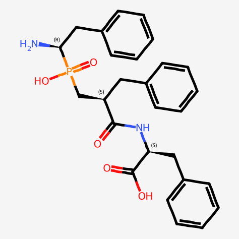 N[C@@H](Cc1ccccc1)P(=O)(O)C[C@@H](Cc1ccccc1)C(=O)N[C@@H](Cc1ccccc1)C(=O)O